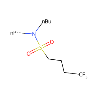 CCCCN(CCC)S(=O)(=O)CCCC(F)(F)F